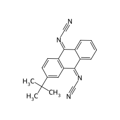 CC(C)(C)c1ccc2c(c1)C(=NC#N)c1ccccc1C2=NC#N